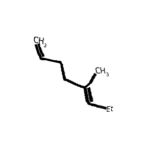 C=CCC/C(C)=C/CC